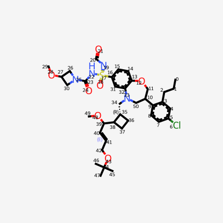 CCCc1cc(Cl)ccc1C1COc2ccc(S(=O)(=NC=O)NC(=O)N3CC(OC)C3)cc2N(C[C@@H]2CCC2C(/C=C/COC(C)(C)C)OC)C1